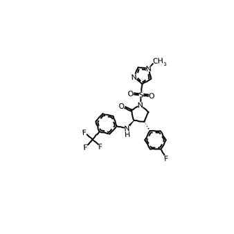 Cn1cnc(S(=O)(=O)N2C[C@H](c3ccc(F)cc3)[C@@H](Nc3cccc(C(F)(F)F)c3)C2=O)c1